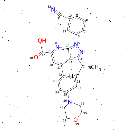 CC(C)c1nn(-c2cccc(C#N)c2)c2nc(C(=O)O)cc(-c3ccc(N4CCOCC4)cc3)c12